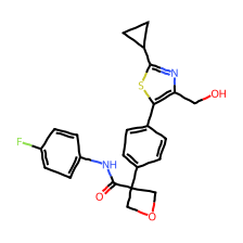 O=C(Nc1ccc(F)cc1)C1(c2ccc(-c3sc(C4CC4)nc3CO)cc2)COC1